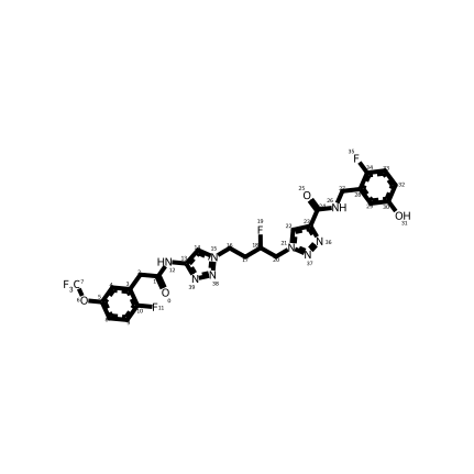 O=C(Cc1cc(OC(F)(F)F)ccc1F)Nc1cn(CCC(F)Cn2cc(C(=O)NCc3cc(O)ccc3F)nn2)nn1